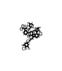 Cc1ccnc(Cn2cc(C(=O)O)c3cccc(N4CC(C)n5c(c(CCCOc6cc(C)c(Cl)c(C)c6)c6ccc(Cl)c(-c7c(C)nn(C)c7C)c65)C4=O)c32)c1